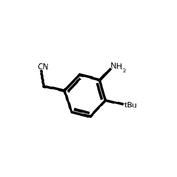 CC(C)(C)c1ccc(CC#N)cc1N